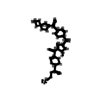 C=C(C1=CCN(C(=O)CCC(F)(F)F)CC1)c1nc(Nc2ccc(C(=O)N3CCC4(CNC4)C3)cc2)nn1C